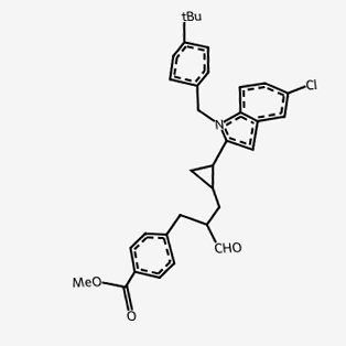 COC(=O)c1ccc(CC(C=O)CC2CC2c2cc3cc(Cl)ccc3n2Cc2ccc(C(C)(C)C)cc2)cc1